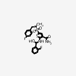 CN(Cc1ccc(F)cc1)S(=O)(=O)c1cc(C(N)=O)c(NC(O)c2ccccc2F)s1